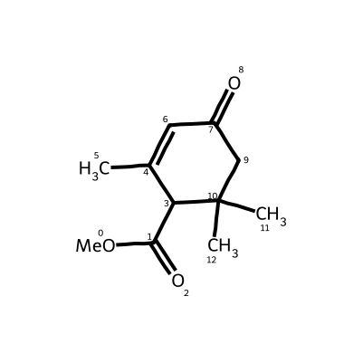 COC(=O)C1C(C)=CC(=O)CC1(C)C